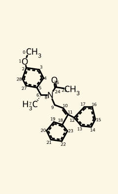 COc1ccc([C@@H](C)N(CC=C(c2ccccc2)c2ccccc2)C(C)=O)cc1